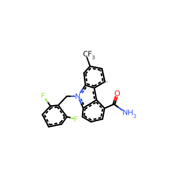 NC(=O)c1cccc2c1c1[c]cc(C(F)(F)F)cc1n2Cc1c(F)cccc1F